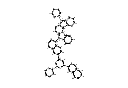 c1ccc(-c2nc(-c3ccc4ccccc4c3)nc(-c3ccc4c(-n5c6ccccc6c6c7c8ccccc8n(-c8ccccc8)c7ccc65)cccc4c3)n2)cc1